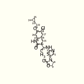 C[C@H](Nc1ncc(N2CCOC2=O)s1)c1cc2cc(Cl)c(OCC3CC3)cc2[nH]c1=O